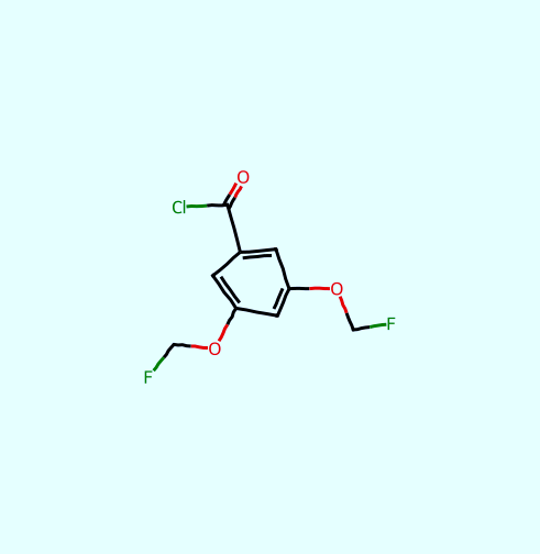 O=C(Cl)c1cc(OCF)cc(OCF)c1